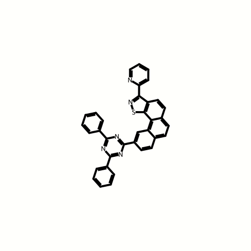 c1ccc(-c2nc(-c3ccccc3)nc(-c3ccc4ccc5ccc6c(-c7ccccn7)nsc6c5c4c3)n2)cc1